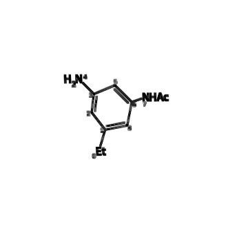 CCc1cc(N)cc(NC(C)=O)c1